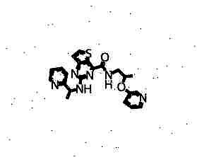 CC(CNC(=O)c1nc(NC(C)c2ccccn2)nc2ccsc12)Oc1cccnc1